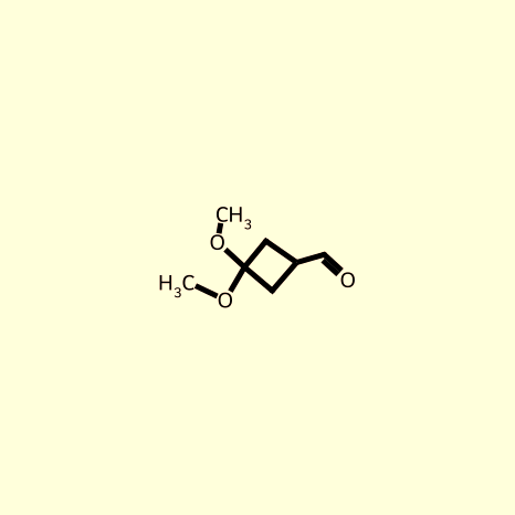 COC1(OC)CC(C=O)C1